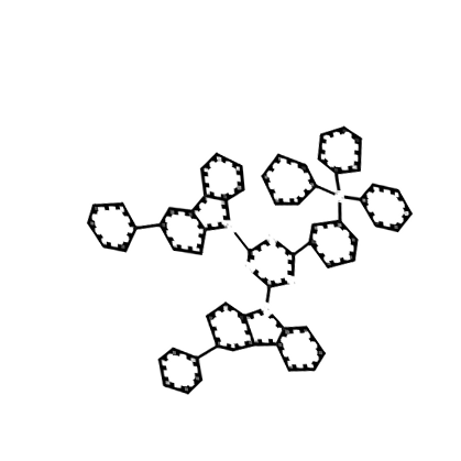 c1ccc(-c2ccc3c(c2)c2ccccc2n3-c2nc(-c3cccc(S(c4ccccc4)(c4ccccc4)c4ccccc4)c3)nc(-n3c4ccccc4c4cc(-c5ccccc5)ccc43)n2)cc1